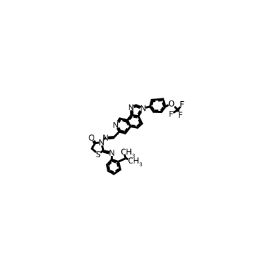 CC(C)c1ccccc1N=C1SCC(=O)N1N=Cc1cc2ccc3c(ncn3-c3ccc(OC(F)(F)F)cc3)c2cn1